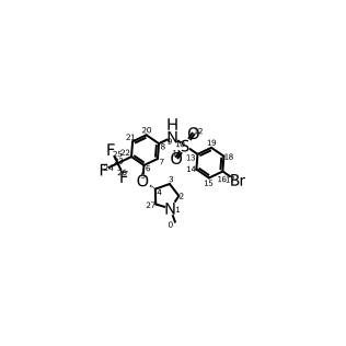 CN1CC[C@@H](Oc2cc(NS(=O)(=O)c3ccc(Br)cc3)ccc2C(F)(F)F)C1